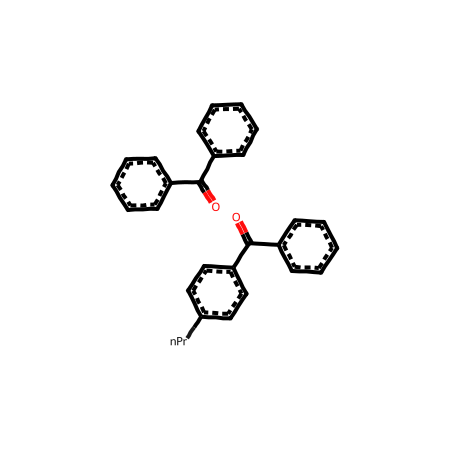 CCCc1ccc(C(=O)c2ccccc2)cc1.O=C(c1ccccc1)c1ccccc1